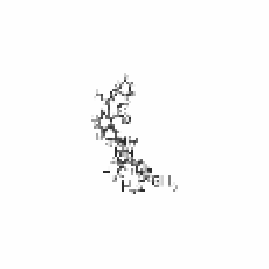 Cc1ccccc1C=CC(=O)C1NCCc2ccc(Nc3ncc(C)c(-c4cnn(C(C)C)c4)n3)cc21